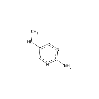 CBc1cnc(N)nc1